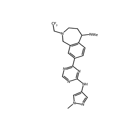 CNC1CCN(CC(F)(F)F)Cc2cc(-c3ncnc(Nc4cnn(C)c4)n3)ccc21